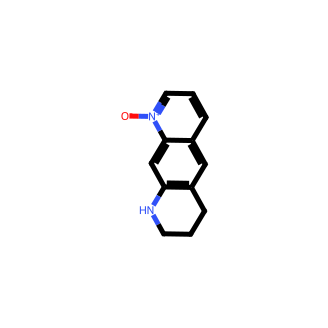 [O-][n+]1cccc2cc3c(cc21)NCCC3